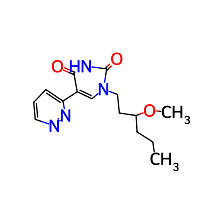 CCCC(CCn1cc(-c2cccnn2)c(=O)[nH]c1=O)OC